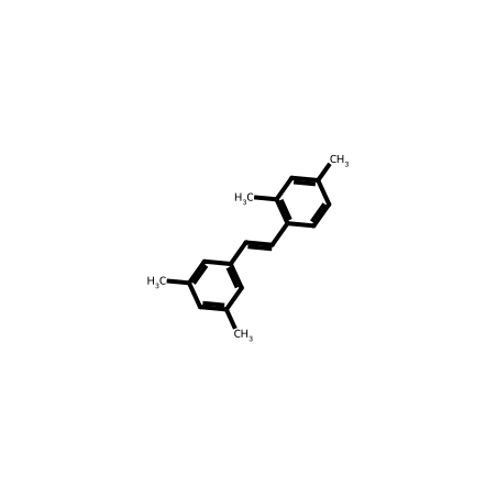 Cc1cc(C)cc(C=Cc2ccc(C)cc2C)c1